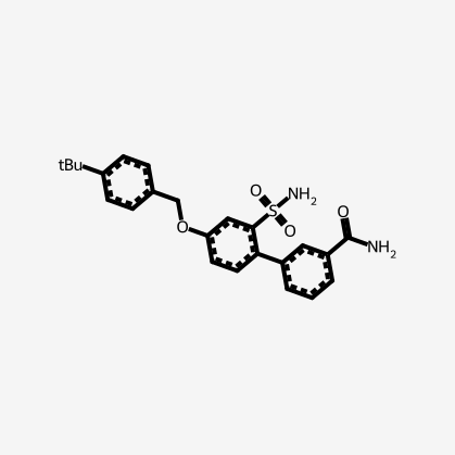 CC(C)(C)c1ccc(COc2ccc(-c3cccc(C(N)=O)c3)c(S(N)(=O)=O)c2)cc1